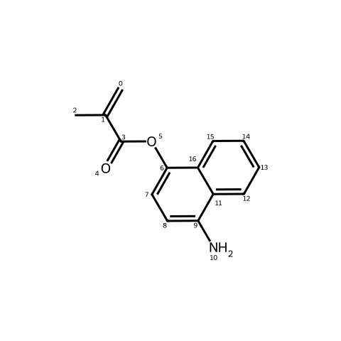 C=C(C)C(=O)Oc1ccc(N)c2ccccc12